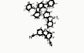 N#Cc1ccc2c(c1)c1cc(C#N)ccc1n2-c1ccc2c(c1)-c1ccc(-n3c4ccccc4c4ccc5c(c6ccccc6n5-c5ccccc5)c43)cc1[SiH2]2